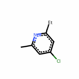 CCc1cc(Cl)cc(C)n1